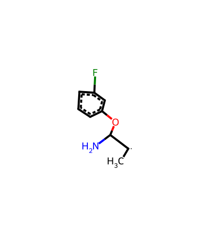 C[CH]C(N)Oc1cccc(F)c1